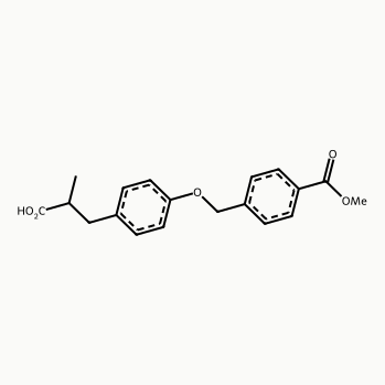 COC(=O)c1ccc(COc2ccc(CC(C)C(=O)O)cc2)cc1